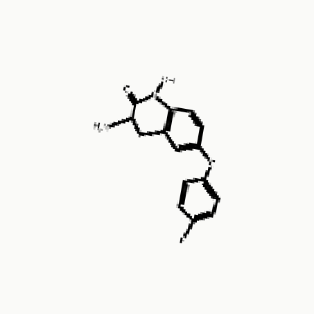 NC1Cc2cc(Oc3ccc(F)cc3)ccc2N(O)C1=O